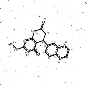 CCCSc1nc2c(c(=O)[nH]1)C(c1ccc3nccnc3c1)CC(=O)N2